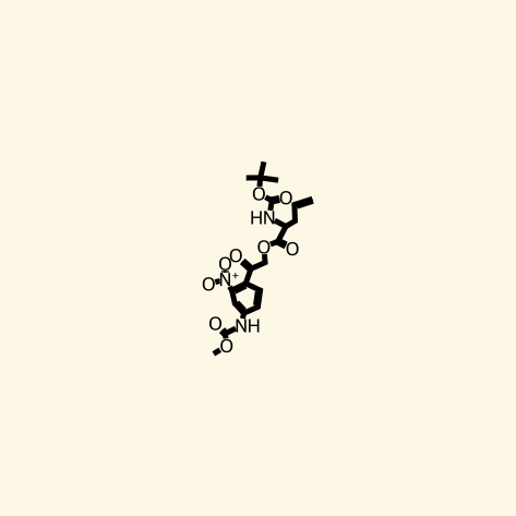 C=CCC(NC(=O)OC(C)(C)C)C(=O)OCC(=O)c1ccc(NC(=O)OC)cc1[N+](=O)[O-]